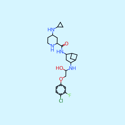 O=C(NC1CC(NC(O)COc2ccc(Cl)c(F)c2)C2CC1C2)C1CC(NC2CC2)CCN1